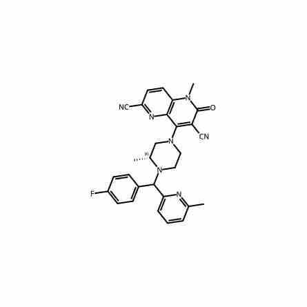 Cc1cccc(C(c2ccc(F)cc2)N2CCN(c3c(C#N)c(=O)n(C)c4ccc(C#N)nc34)C[C@H]2C)n1